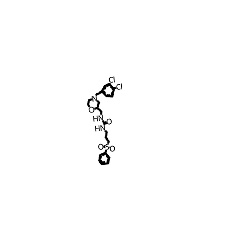 O=C(NCCCS(=O)(=O)c1ccccc1)NCC1CN(Cc2ccc(Cl)c(Cl)c2)CCO1